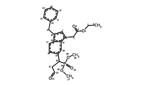 CCOC(=O)Cc1cn(Cc2ccccc2)c2ccc(C(CC=O)P(=O)(OC)OC)cc12